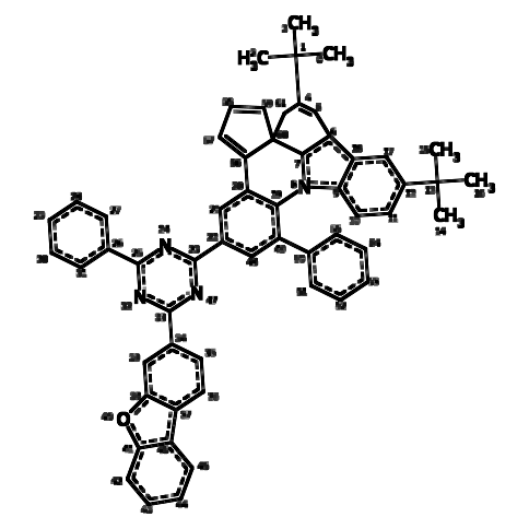 CC(C)(C)C1=Cc2c3n(c4ccc(C(C)(C)C)cc24)-c2c(cc(-c4nc(-c5ccccc5)nc(-c5ccc6c(c5)oc5ccccc56)n4)cc2-c2ccccc2)C2=CC=CC23C1